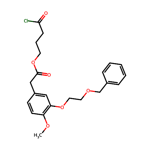 COc1ccc(CC(=O)OCCCC(=O)Cl)cc1OCCOCc1ccccc1